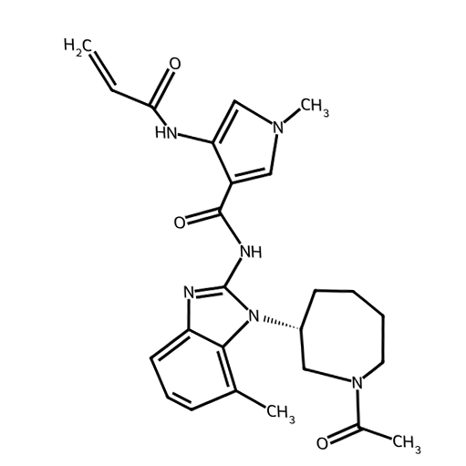 C=CC(=O)Nc1cn(C)cc1C(=O)Nc1nc2cccc(C)c2n1[C@@H]1CCCCN(C(C)=O)C1